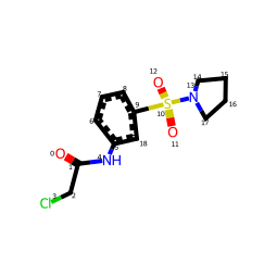 O=C(CCl)Nc1cccc(S(=O)(=O)N2CCCC2)c1